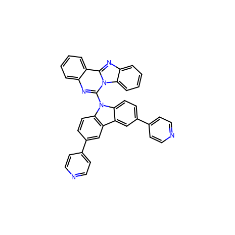 c1ccc2c(c1)nc(-n1c3ccc(-c4ccncc4)cc3c3cc(-c4ccncc4)ccc31)n1c3ccccc3nc21